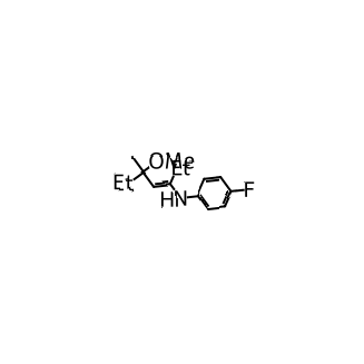 CC/C(=C\C(C)(CC)OC)Nc1ccc(F)cc1